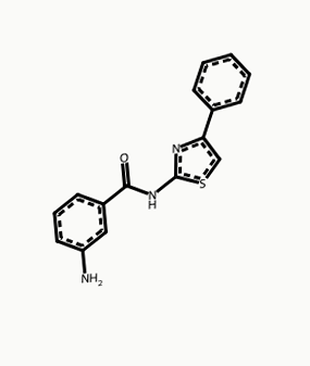 Nc1cccc(C(=O)Nc2nc(-c3ccccc3)cs2)c1